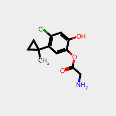 CC1(c2cc(OC(=O)CN)c(O)cc2Cl)CC1